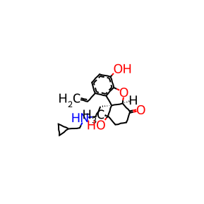 C=Cc1ccc(O)c2c1[C@@]1(CCNCC3CC3)[C@@H](O2)C(=O)CC[C@]1(C)O